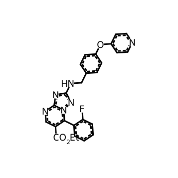 CCOC(=O)c1cnc2nc(NCc3ccc(Oc4ccncc4)cc3)nn2c1-c1ccccc1F